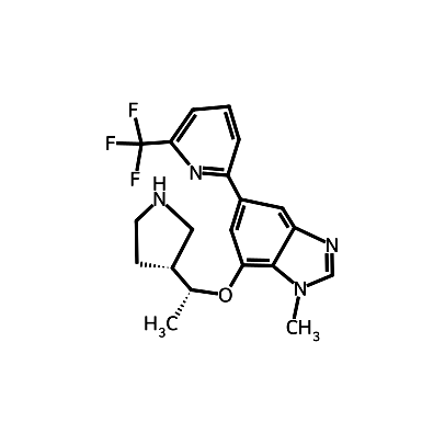 C[C@@H](Oc1cc(-c2cccc(C(F)(F)F)n2)cc2ncn(C)c12)[C@@H]1CCNC1